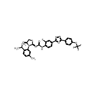 Cc1ccc(C(C)C)c(N2C(=O)CSC2=NC(=O)Nc2ccc(-c3nnc(-c4ccc(OC(F)(F)F)cc4)o3)cc2F)c1